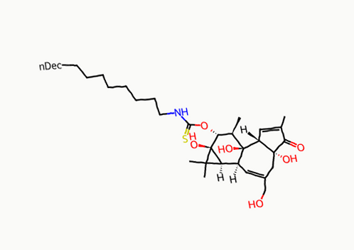 CCCCCCCCCCCCCCCCCCNC(=S)O[C@@H]1[C@@H](C)[C@@]2(O)[C@@H](C=C(CO)C[C@]3(O)C(=O)C(C)=C[C@@H]23)[C@H]2C(C)(C)[C@]12O